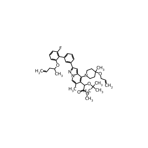 C=CCOC1(C)CCN(c2c(C(OC(C)(C)C)C(=O)OC)c(C)cn3nc(-c4cccc(-c5c(F)cccc5OC(C)CC=C)c4)cc23)CC1